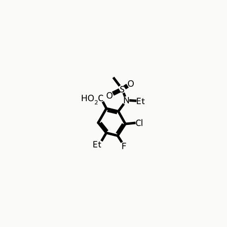 CCc1cc(C(=O)O)c(N(CC)S(C)(=O)=O)c(Cl)c1F